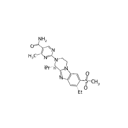 CCc1cc2nc3n(c2cc1S(C)(=O)=O)CCN(c1ncc(C(N)=O)c(C)n1)[C@H]3C(C)C